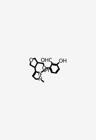 CC(C)N1C(C2COCC2COc2cccc(O)c2C=O)=CCN1C